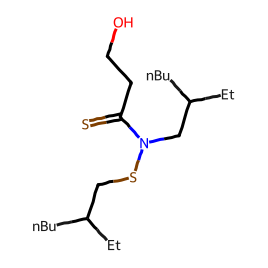 CCCCC(CC)CSN(CC(CC)CCCC)C(=S)CCO